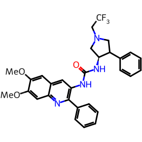 COc1cc2cc(NC(=O)N[C@H]3CN(CC(F)(F)F)CC3c3ccccc3)c(-c3ccccc3)nc2cc1OC